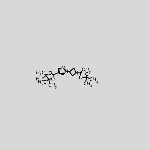 CC(C)(C)OC(=O)N1CC(n2cc(C3OC(C)(C)C(C)(C)O3)cn2)C1